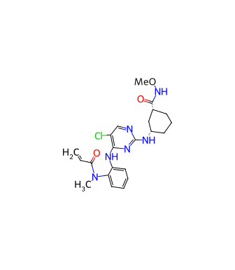 C=CC(=O)N(C)c1ccccc1Nc1nc(N[C@H]2CCC[C@@H](C(=O)NOC)C2)ncc1Cl